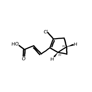 O=C(O)C=CC1=C(Cl)C[C@@H]2C[C@H]12